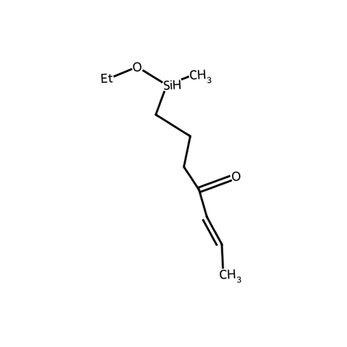 CC=CC(=O)CCC[SiH](C)OCC